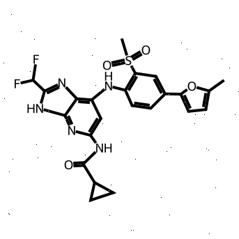 Cc1ccc(-c2ccc(Nc3cc(NC(=O)C4CC4)nc4[nH]c(C(F)F)nc34)c(S(C)(=O)=O)c2)o1